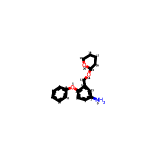 Nc1ccc(Oc2ccccc2)c(COC2CCCCO2)c1